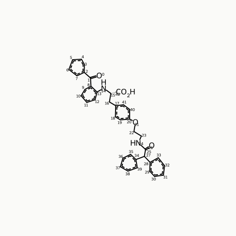 O=C(c1ccccc1)c1ccccc1N[C@@H](Cc1ccc(OCCNC(=O)C(c2ccccc2)c2ccccc2)cc1)C(=O)O